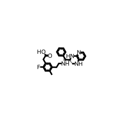 Cc1cc(F)c(CC(=O)O)cc1CCN[C@H](c1ccccc1)[C@H]1CNc2cccnc2N1